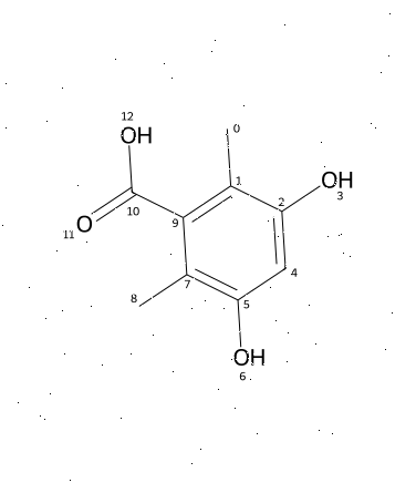 Cc1c(O)cc(O)c(C)c1C(=O)O